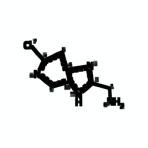 NCc1nc2cc(Cl)ncc2[nH]1